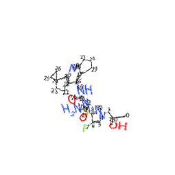 C[C@@H](O)Cn1cc(F)c([S@](N)(=O)=NC(=O)Nc2c3c(nc4c2CCC42CC2)CCC3)n1